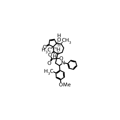 COc1ccc(C2CC3(ON2c2ccccc2)C(=O)O[C@@H]2[C@H]3CC[C@H](C)[C@]3(O)C=CC(=O)[C@@]23C)c(C)c1